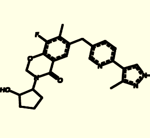 Cc1nn(C)cc1-c1ccc(Cc2cc3c(c(F)c2C)OCN(C2CCCC2O)C3=O)cn1